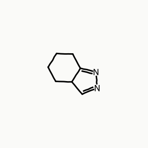 C1=NN=C2CCCCC12